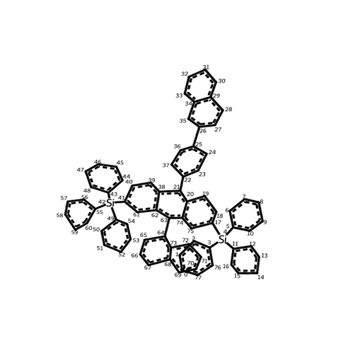 c1ccc([Si](c2ccccc2)(c2ccccc2)c2ccc3c(-c4ccc(-c5ccc6ccccc6c5)cc4)c4ccc([Si](c5ccccc5)(c5ccccc5)c5ccccc5)cc4c(-c4cccc5ccccc45)c3c2)cc1